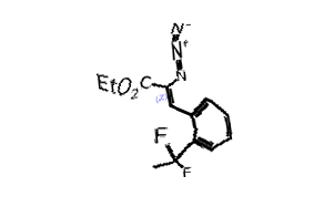 CCOC(=O)/C(=C/c1ccccc1C(C)(F)F)N=[N+]=[N-]